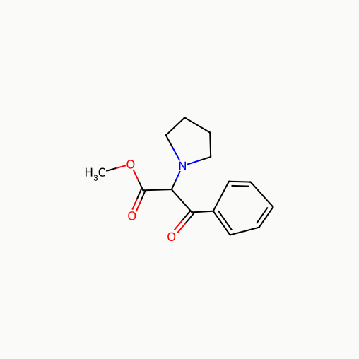 COC(=O)C(C(=O)c1ccccc1)N1CCCC1